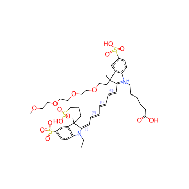 CCN1/C(=C/C=C/C=C/C=C/C2=[N+](CCCCCC(=O)O)c3ccc(S(=O)(=O)O)cc3C2(C)CCOCCOCCOCCOC)C(C)(CCCS(=O)(=O)O)c2cc(S(=O)(=O)[O-])ccc21